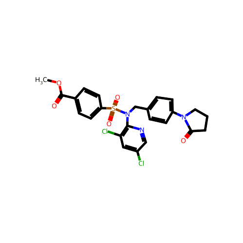 COC(=O)c1ccc(S(=O)(=O)N(Cc2ccc(N3CCCC3=O)cc2)c2ncc(Cl)cc2Cl)cc1